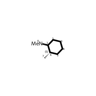 CNC1CCCC[C@@H]1C